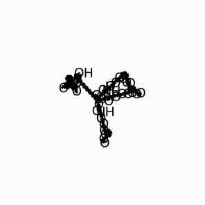 COc1ccc(C(OC[C@@H]2C[C@@H](O)CN2C(=O)CCCCCCCCCCC(=O)CC(COCCC(=O)NCCOCCOCCOC2OC(COC(C)=O)C(C)C(C)C2C)(COCCC(=O)NCCOCCOCCOC2OC(COC(C)=O)C(C)C(C)C2C)COCCC(=O)NCCOCCOCCOC2OC(COC(C)=O)C(C)C(C)C2C)(c2ccccc2)c2ccc(OC)cc2)cc1